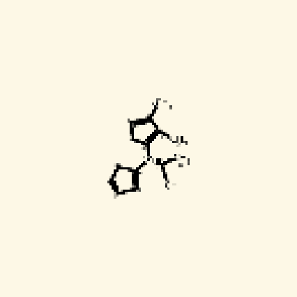 CC1=CC[C]([Zr]([C]2=CC=CC2)=[C](C)C)=C1C